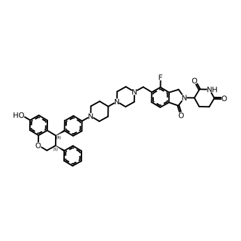 O=C1CCC(N2Cc3c(ccc(CN4CCN(C5CCN(c6ccc([C@@H]7c8ccc(O)cc8OC[C@@H]7c7ccccc7)cc6)CC5)CC4)c3F)C2=O)C(=O)N1